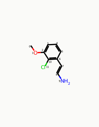 COc1cccc(/C=C/N)c1Cl